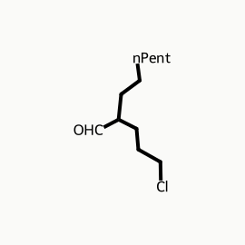 CCCCCCCC(C=O)CCCCl